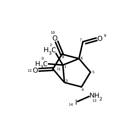 CC1(C)C2CCC1(C=O)C(=O)C2=O.NI